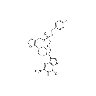 Cc1ccc(COP(=O)(COCCn2cnc3c(=O)[nH]c(N)nc32)OCC2=C(C3CCCCC3)OCO2)cc1